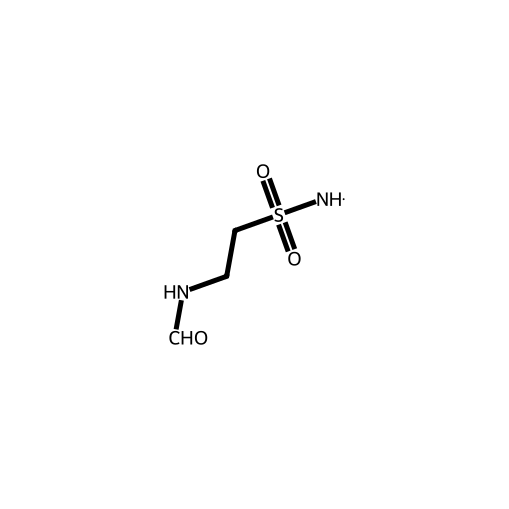 [NH]S(=O)(=O)CCNC=O